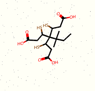 CCC(C)(C)C(C(S)CC(=O)O)(C(S)CC(=O)O)C(S)CC(=O)O